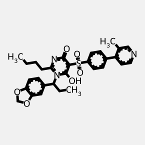 CCCCc1nc(=O)c(S(=O)(=O)c2ccc(-c3ccncc3C)cc2)c(O)n1C(CC)c1ccc2c(c1)OCO2